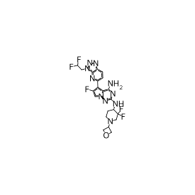 Nc1nc(N[C@@H]2CCN(C3COC3)CC2(F)F)nn2cc(F)c(-c3ccc4nnn(CC(F)F)c4n3)c12